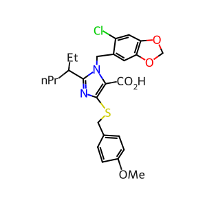 CCCC(CC)c1nc(SCc2ccc(OC)cc2)c(C(=O)O)n1Cc1cc2c(cc1Cl)OCO2